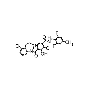 Cc1cc(F)c(CNC(=O)c2cn3c(c(O)c2=O)C(=O)N2CC3CCc3c(Cl)cccc32)c(F)c1